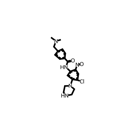 CN(C)Cc1ccc(C(=O)Nc2cc(N3CCNCC3)c(Cl)cc2N=O)cc1